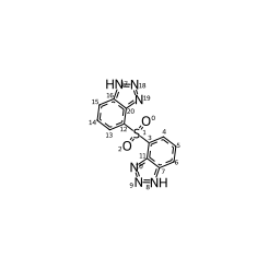 O=S(=O)(c1cccc2[nH]nnc12)c1cccc2[nH]nnc12